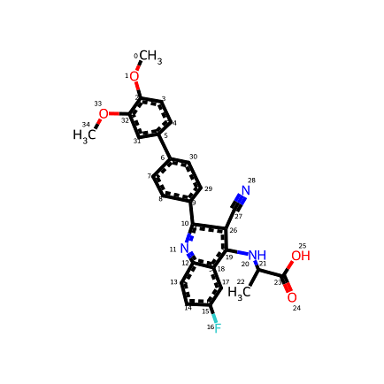 COc1ccc(-c2ccc(-c3nc4ccc(F)cc4c(NC(C)C(=O)O)c3C#N)cc2)cc1OC